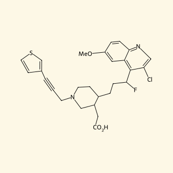 COc1ccc2ncc(Cl)c(C(F)CCC3CCN(CC#Cc4ccsc4)CC3CC(=O)O)c2c1